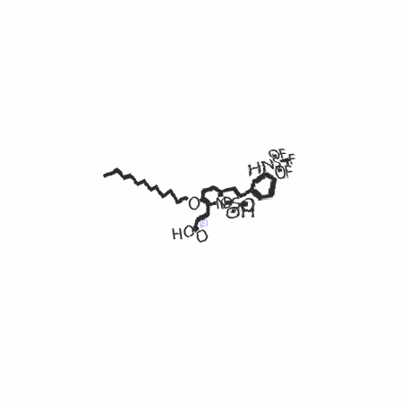 CCCCCCCCCCCCOc1ccc(CC(c2cccc(NS(=O)(=O)C(F)(F)F)c2)S(=O)(=O)O)nc1/C=C/C(=O)O